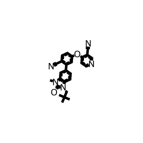 Cn1c(=O)n(CC(C)(C)C)c2ccc(-c3cc(Oc4ccncc4C#N)ccc3C#N)cc21